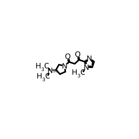 CN(C)[C@@H]1CCN(C(=O)CC(=O)c2nccn2C)C1